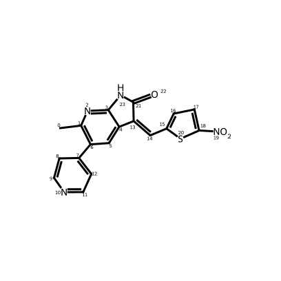 Cc1nc2c(cc1-c1ccncc1)C(=Cc1ccc([N+](=O)[O-])s1)C(=O)N2